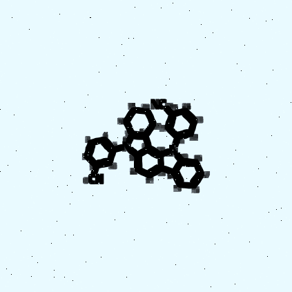 N#Cc1cccc(-n2c3c(c4c2ccc2c5ccccc5n(-c5cccc(C#N)c5)c24)CCCC3)c1